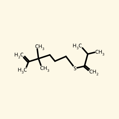 C=C(SCCCC(C)(C)C(=C)C)C(C)C